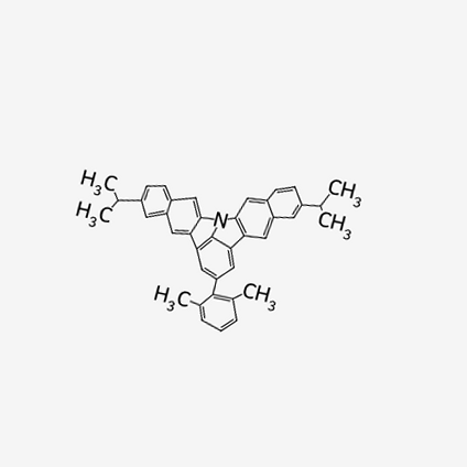 Cc1cccc(C)c1-c1cc2c3cc4cc(C(C)C)ccc4cc3n3c4cc5ccc(C(C)C)cc5cc4c(c1)c23